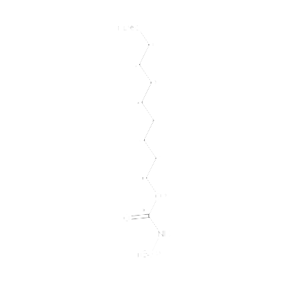 CCCCCCCCCCCCCCCCCCOC(=O)NCCCC